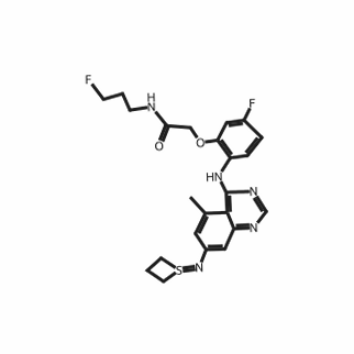 Cc1cc(N=S2CCC2)cc2ncnc(Nc3ccc(F)cc3OCC(=O)NCCCF)c12